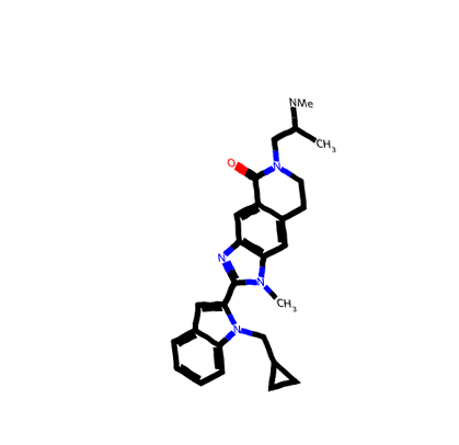 CNC(C)CN1CCc2cc3c(cc2C1=O)nc(-c1cc2ccccc2n1CC1CC1)n3C